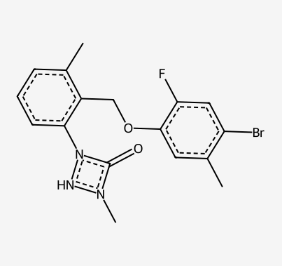 Cc1cc(OCc2c(C)cccc2-n2[nH]n(C)c2=O)c(F)cc1Br